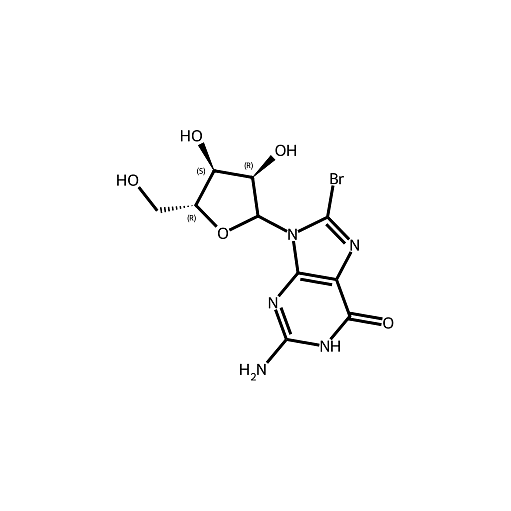 Nc1nc2c(nc(Br)n2C2O[C@H](CO)[C@@H](O)[C@H]2O)c(=O)[nH]1